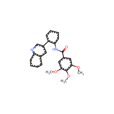 COc1cc(C(=O)Nc2ccccc2-c2cnc3ccccc3c2)cc(OC)c1OC